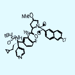 COC1CC(C(=O)Nc2cc([C@](CCC3CC3)(N[S@+]([O-])C(C)(C)C)c3ccncc3)ccc2F)N(S(=O)(=O)c2ccc3cc(Cl)ccc3c2)C1